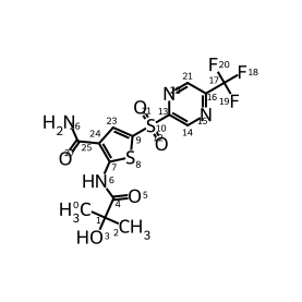 CC(C)(O)C(=O)Nc1sc(S(=O)(=O)c2cnc(C(F)(F)F)cn2)cc1C(N)=O